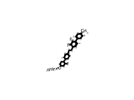 CCCCCCOc1ccc(-c2ccc(CCc3ccc(-c4ccc(C)cc4)c(F)c3F)cc2)c(F)c1